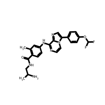 Cc1cc(Nc2nccn3c(-c4ccc(OC(F)F)cc4)cnc23)ccc1C(=O)NCC(C)N